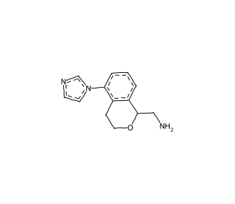 NCC1OCCc2c1cccc2-n1ccnc1